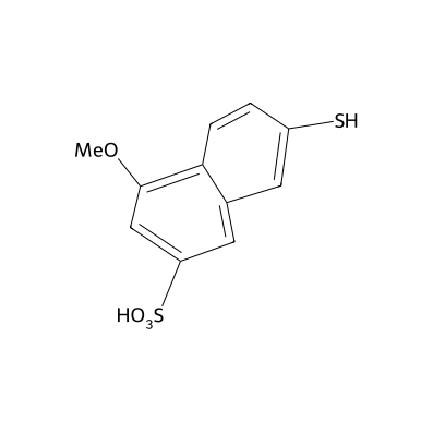 COc1cc(S(=O)(=O)O)cc2cc(S)ccc12